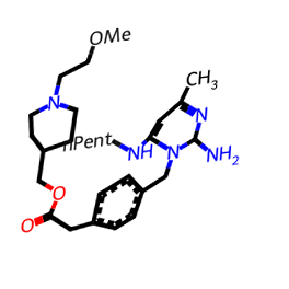 CCCCCNC1=CC(C)=NC(N)N1Cc1ccc(CC(=O)OCC2CCN(CCOC)CC2)cc1